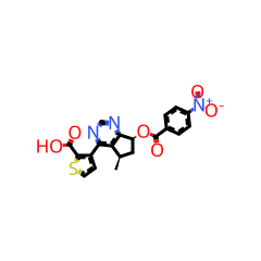 C[C@@H]1C[C@@H](OC(=O)c2ccc([N+](=O)[O-])cc2)c2ncnc(-c3ccsc3C(=O)O)c21